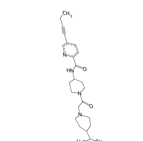 CCC#Cc1ccc(C(=O)NC2CCN(C(=O)CN3CCC(C(C)C)CC3)CC2)nc1